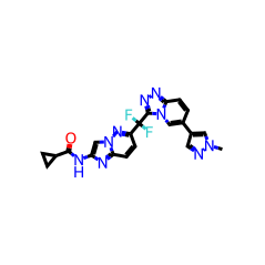 Cn1cc(-c2ccc3nnc(C(F)(F)c4ccc5nc(NC(=O)C6CC6)cn5n4)n3c2)cn1